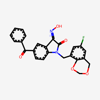 O=C(c1ccccc1)c1ccc2c(c1)/C(=N/O)C(=O)N2Cc1cc(F)cc2c1OCOC2